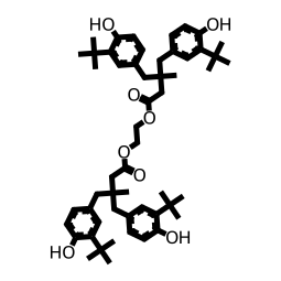 CC(CC(=O)OCCOC(=O)CC(C)(Cc1ccc(O)c(C(C)(C)C)c1)Cc1ccc(O)c(C(C)(C)C)c1)(Cc1ccc(O)c(C(C)(C)C)c1)Cc1ccc(O)c(C(C)(C)C)c1